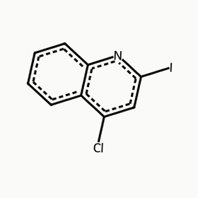 Clc1cc(I)nc2ccccc12